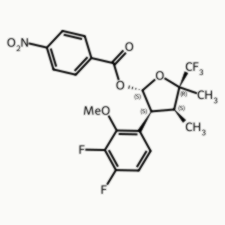 COc1c([C@H]2[C@H](OC(=O)c3ccc([N+](=O)[O-])cc3)O[C@@](C)(C(F)(F)F)[C@H]2C)ccc(F)c1F